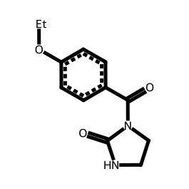 CCOc1ccc(C(=O)N2CCNC2=O)cc1